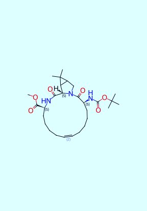 COC(=O)[C@@H]1CCCC/C=C\CCCC[C@H](NC(=O)OC(C)(C)C)C(=O)N2CC3C([C@H]2C(=O)N1)C3(C)C